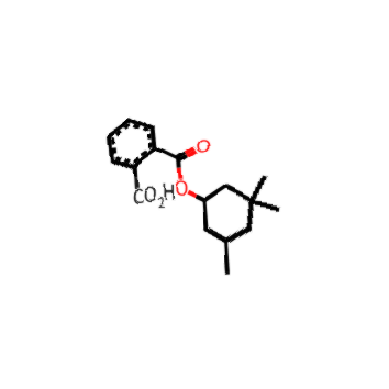 CC1CC(OC(=O)c2ccccc2C(=O)O)CC(C)(C)C1